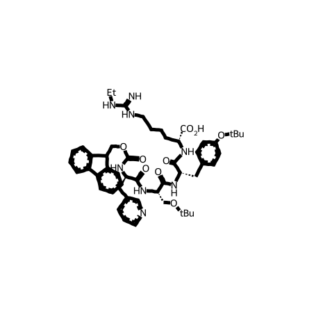 CCNC(=N)NCCCC[C@@H](NC(=O)[C@H](Cc1ccc(OC(C)(C)C)cc1)NC(=O)[C@H](COC(C)(C)C)NC(=O)[C@@H](Cc1cccnc1)NC(=O)OCC1c2ccccc2-c2ccccc21)C(=O)O